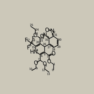 CCOC(=O)C1=C(C(OCC)OCC)NC(C(F)(F)F)=C(C(=O)OCC)C1c1cccc2nonc12